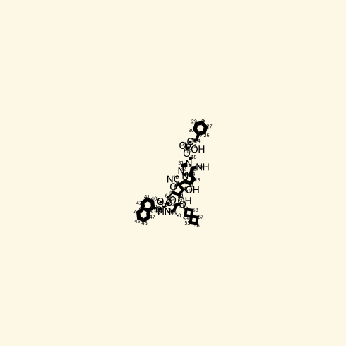 C[C@H](NP(=O)(OC[C@H]1O[C@@](C#N)(c2ccc3c(=N)n(COP(=O)(O)OCc4ccccc4)cnn23)[C@H](O)[C@@H]1O)Oc1cccc2ccccc12)C(=O)OC1CC2(CCC2)C1